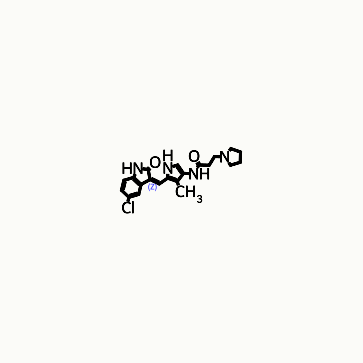 Cc1c(NC(=O)CCN2CCCC2)c[nH]c1/C=C1\C(=O)Nc2ccc(Cl)cc21